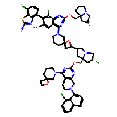 Nc1nc2c(-c3c(C(F)(F)F)cc4c(N5CCCC6(CC(C7CN8C[C@H](F)C[C@]8(COc8nc9c(c(N%10CCCC%11(CCO%11)C%10)n8)CCN(c8cccc%10cccc(Cl)c8%10)C9)C7)O6)C5)nc(OC[C@@]56CCCN5C[C@H](F)C6)nc4c3F)ccc(F)c2s1